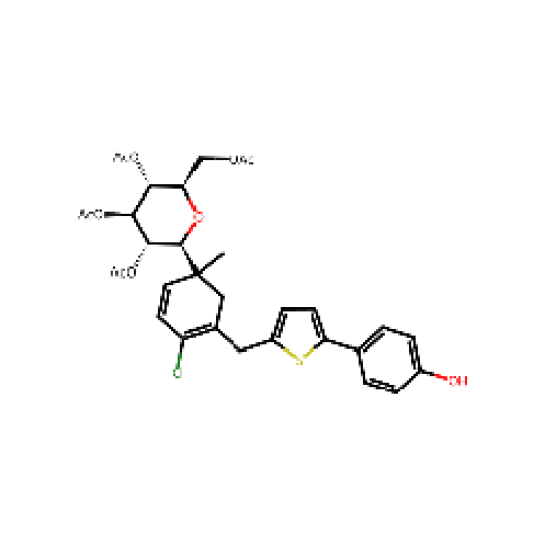 CC(=O)OC[C@H]1O[C@@H](C2(C)C=CC(Cl)=C(Cc3ccc(-c4ccc(O)cc4)s3)C2)[C@H](OC(C)=O)[C@@H](OC(C)=O)[C@@H]1OC(C)=O